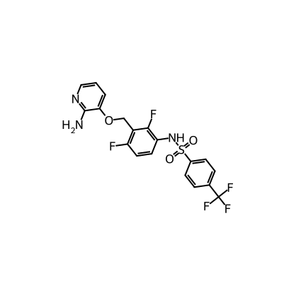 Nc1ncccc1OCc1c(F)ccc(NS(=O)(=O)c2ccc(C(F)(F)F)cc2)c1F